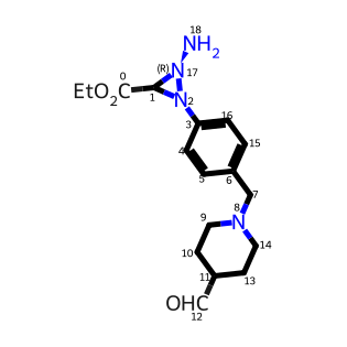 CCOC(=O)C1N(c2ccc(CN3CCC(C=O)CC3)cc2)[N@]1N